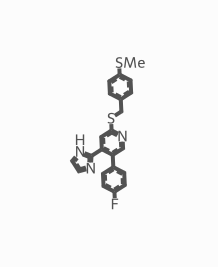 CSc1ccc(CSc2cc(-c3ncc[nH]3)c(-c3ccc(F)cc3)cn2)cc1